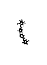 Fc1c(F)c(F)c(/C=C/c2ccc(Sc3ccc(/C=C/c4c(F)c(F)c(F)c(F)c4F)cc3)cc2)c(F)c1F